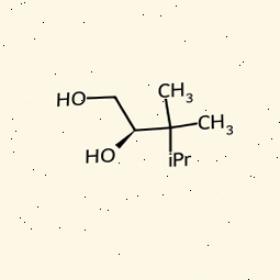 CC(C)C(C)(C)[C@@H](O)CO